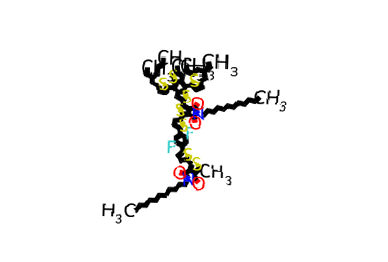 CCCCCCCCCCCCN1C(=O)c2c(C)sc(-c3ccc(-c4cc(F)c(-c5ccc(-c6sc(-c7cc8c(-c9ccc(CC(CC)CCCC)s9)c9sc(C)cc9c(-c9ccc(CC(CC)CCCC)s9)c8s7)c7c6C(=O)N(CCCCCCCCCCCC)C7=O)s5)cc4F)s3)c2C1=O